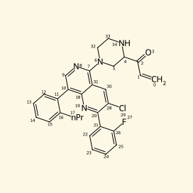 C=CC(=O)C1CN(c2ncc(-c3ccccc3CCC)c3nc(-c4ccccc4F)c(Cl)cc23)CCN1